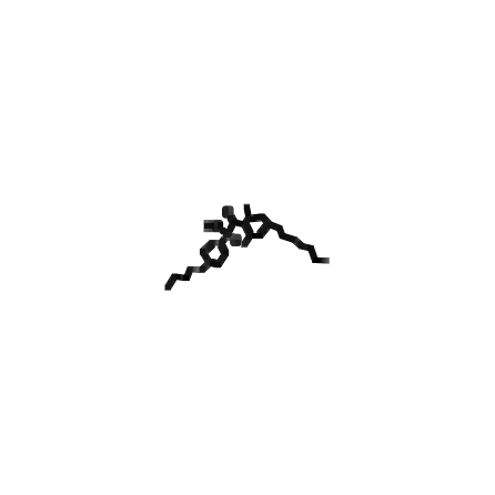 CCCCCCCc1cc(C)c(C(=O)P(=O)(O)c2ccc(CCCCC)cc2)c(C)c1